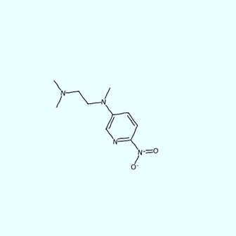 CN(C)CCN(C)c1ccc([N+](=O)[O-])nc1